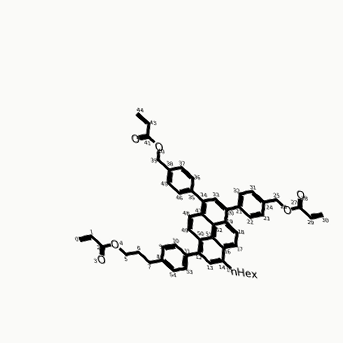 C=CC(=O)OCCCc1ccc(-c2cc(CCCCCC)c3ccc4c(-c5ccc(COC(=O)C=C)cc5)cc(-c5ccc(COC(=O)C=C)cc5)c5ccc2c3c45)cc1